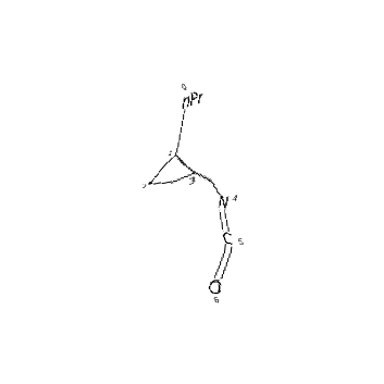 CCCC1CC1N=C=O